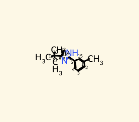 Cc1cccc(-c2nc(C(C)(C)C)c[nH]2)c1